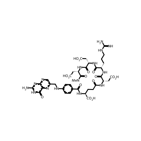 CNC(=O)[C@H](CC(=O)O)NC(=O)[C@H](CC(=O)O)NC(=O)[C@H](CCCNC(=N)N)NC(=O)[C@H](CC(=O)O)NC(=O)CC[C@H](NC(=O)c1ccc(NCc2cnc3nc(N)[nH]c(=O)c3n2)cc1)C(=O)O